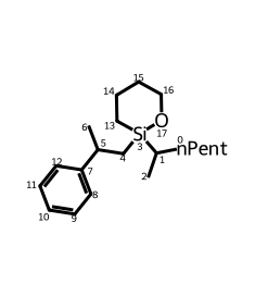 CCCCCC(C)[Si]1(CC(C)c2ccccc2)CCCCO1